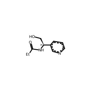 CCC(=O)N[C@@H](CO)c1cccnc1